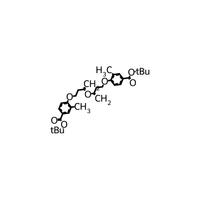 C=C(CCOc1ccc(C(=O)OC(C)(C)C)cc1C)OC(=C)CCOc1ccc(C(=O)OC(C)(C)C)cc1C